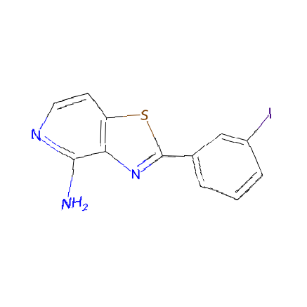 Nc1nccc2sc(-c3cccc(I)c3)nc12